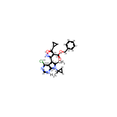 Cc1c(-c2noc(C3CC3)c2C(=O)OCc2ccccc2)c2c(Cl)ncnc2n1C1(C)CC1